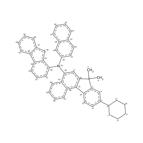 CC1(C)c2cc(C3CCCCC3)ccc2-c2c1cc(N(c1ccc3ccccc3c1)c1cccc3c1sc1ccccc13)c1ccccc21